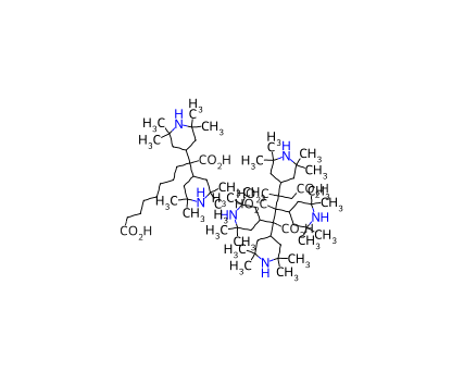 CC1(C)CC(C(CC(=O)O)(C(=O)O)C(C(=O)O)(C2CC(C)(C)NC(C)(C)C2)C(C(=O)O)(C2CC(C)(C)NC(C)(C)C2)C2CC(C)(C)NC(C)(C)C2)CC(C)(C)N1.CC1(C)CC(C(CCCCCCCC(=O)O)(C(=O)O)C2CC(C)(C)NC(C)(C)C2)CC(C)(C)N1